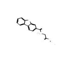 COC(=O)CNC(=O)c1ccc2c(c1)oc1ccccc12